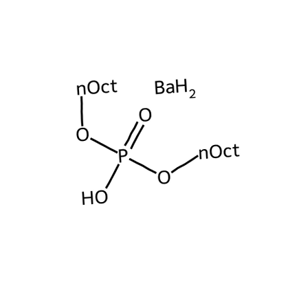 CCCCCCCCOP(=O)(O)OCCCCCCCC.[BaH2]